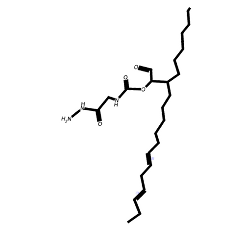 CC/C=C/C/C=C/CCCCCC(CCCCCCC)C(C=O)OC(=O)NCC(=O)NN